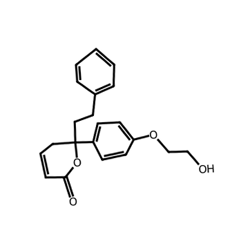 O=C1C=CCC(CCc2ccccc2)(c2ccc(OCCO)cc2)O1